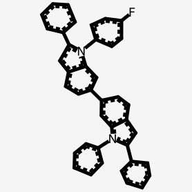 Fc1ccc(-n2c(-c3ccccc3)cc3ccc(-c4ccc5cc(-c6ccccc6)n(-c6ccccc6)c5c4)cc32)cc1